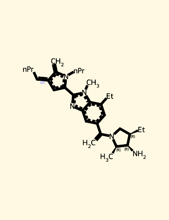 C=C(c1cc(CC)c2c(c1)nc(-c1c/c(=C/CCC)c(=C)n1CCC)n2C)N1C[C@@H](CC)[C@@H](N)[C@H]1C